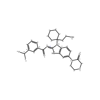 O=C(/N=c1\[nH]c2cc(N3CCOCC3=O)ccc2n1C1(CCO)CCCCC1)c1cccc(C(F)F)c1